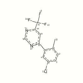 Cc1ccc(Cl)cc1-c1cc(C(F)(F)F)ncn1